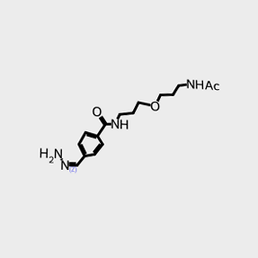 CC(=O)NCCCOCCCNC(=O)c1ccc(/C=N\N)cc1